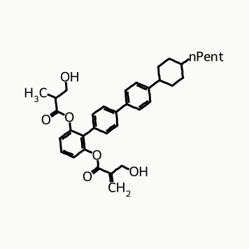 C=C(CO)C(=O)Oc1cccc(OC(=O)C(C)CO)c1-c1ccc(-c2ccc(C3CCC(CCCCC)CC3)cc2)cc1